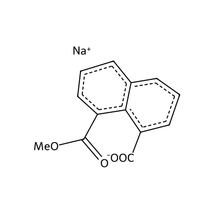 COC(=O)c1cccc2cccc(C(=O)[O-])c12.[Na+]